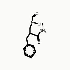 NC(=O)C(Cc1ccccc1)CN(O)C=O